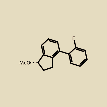 CO[C@H]1CCc2c(-c3ccccc3F)cccc21